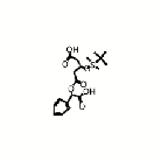 CC(C)(C)[Si](C)(C)O[C@H](CC(=O)O)CC(=O)O[C@@H](C(=O)O)c1ccccc1